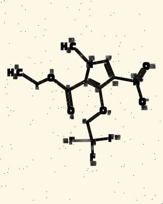 CCOC(=O)c1c(OCC(F)(F)F)c([N+](=O)[O-])cn1C